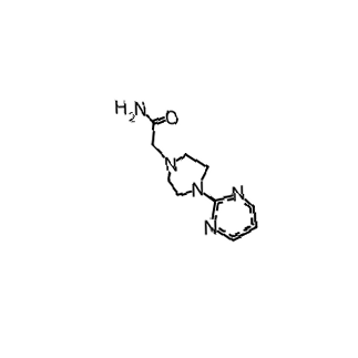 NC(=O)CN1CCN(c2ncccn2)CC1